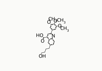 COc1cc(-c2cc(C(=O)O)c3cc(CCCCO)ccc3n2)cc(OC)c1OC